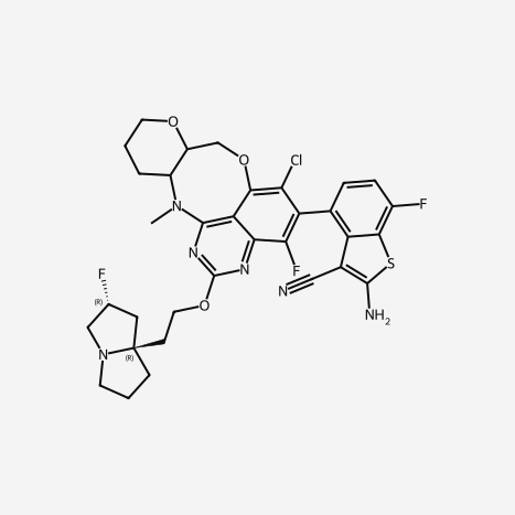 CN1c2nc(OCC[C@@]34CCCN3C[C@H](F)C4)nc3c(F)c(-c4ccc(F)c5sc(N)c(C#N)c45)c(Cl)c(c23)OCC2OCCCC21